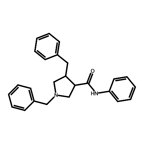 O=C(Nc1ccccc1)C1CN(Cc2ccccc2)CC1Cc1ccccc1